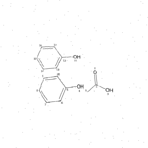 CC(=O)O.Oc1ccccc1.Oc1ccccc1